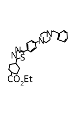 CCOC(=O)C1CCC(c2nnc(-c3ccc(N4CCN(Cc5ccccc5)CC4)cc3)s2)CC1